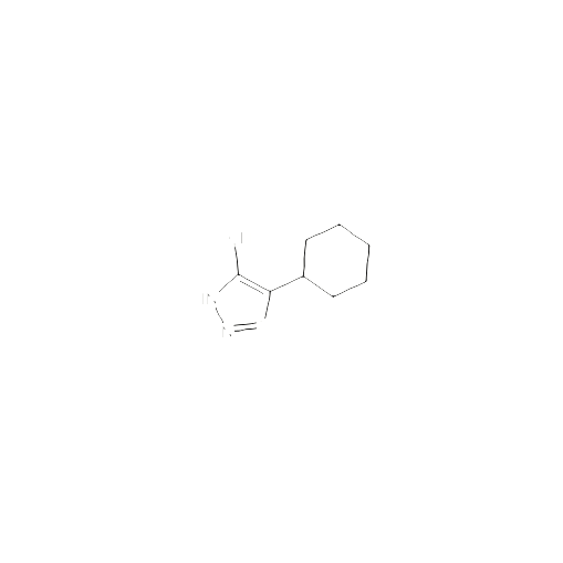 Cc1[nH]npc1C1CCCCC1